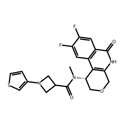 CN(C(=O)C1CN(c2ccsc2)C1)[C@H]1COCc2[nH]c(=O)c3cc(F)c(F)cc3c21